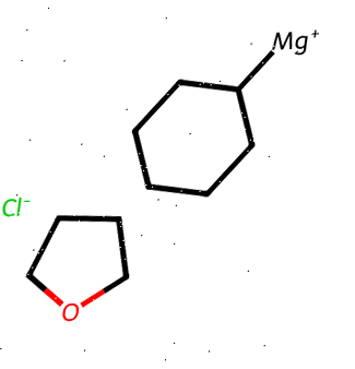 C1CCOC1.[Cl-].[Mg+][CH]1CCCCC1